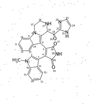 Cn1cc(C2=C(c3c4n(c5ccccc35)CCNC4C(=O)c3ncc[nH]3)C(=O)NC2=O)c2ccccc21